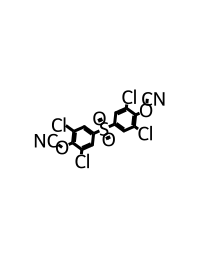 N#COc1c(Cl)cc(S(=O)(=O)c2cc(Cl)c(OC#N)c(Cl)c2)cc1Cl